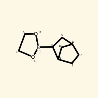 C1COB(C2CC3CCC2C3)O1